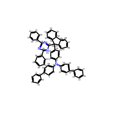 c1ccc(-c2ccc(N(c3ccc(-c4ccccc4)cc3)c3ccc(C4(c5nc(-c6ccccc6)nc(-c6ccccc6)n5)c5ccccc5-c5ccccc54)cc3)cc2)cc1